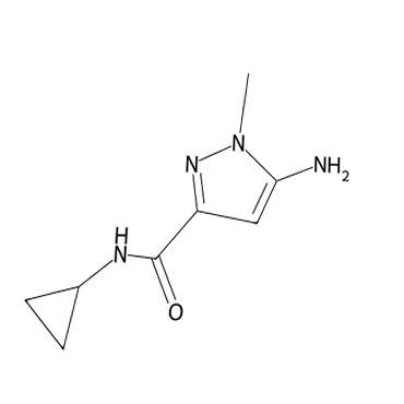 Cn1nc(C(=O)NC2CC2)cc1N